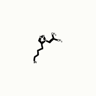 CC(C)=Cn1nncc1CCCCC(C)C